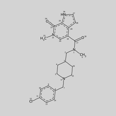 CN(CC1CCN(Cc2ccc(Cl)cc2)CC1)C(=O)c1cn(C)c(=O)c2[nH]ccc12